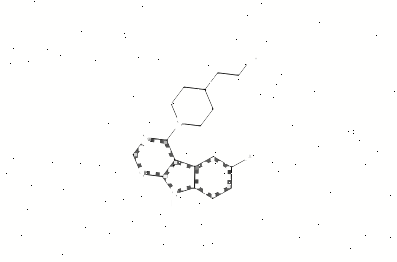 CC(=O)c1ccc2[nH]c3ncnc(N4CCC(CCO)CC4)c3c2c1